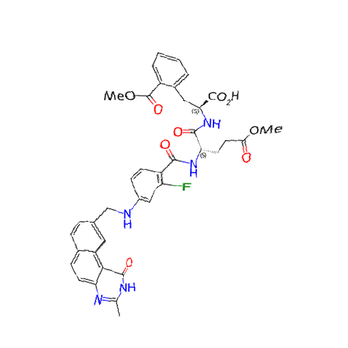 COC(=O)CC[C@H](NC(=O)c1ccc(NCc2ccc3ccc4nc(C)[nH]c(=O)c4c3c2)cc1F)C(=O)N[C@@H](Cc1ccccc1C(=O)OC)C(=O)O